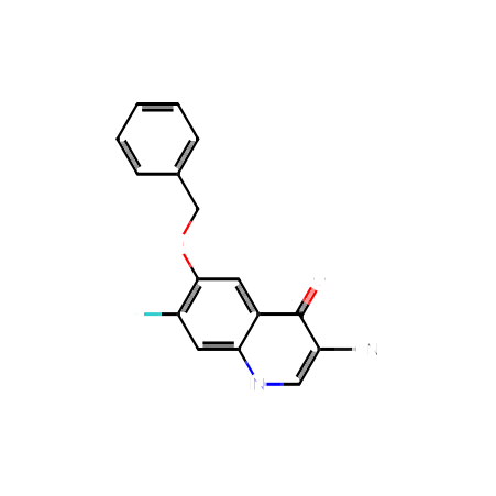 N#Cc1c[nH]c2cc(F)c(OCc3ccccc3)cc2c1=O